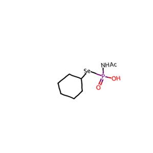 CC(=O)NP(=O)(O)[Se]C1CCCCC1